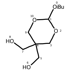 CC(C)COC1OCC(CO)(CO)CO1